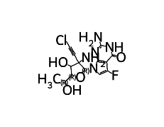 C[C@@H](O)[C@H]1O[C@@H](n2cc(F)c3c(=O)[nH]c(N)nc32)C(N)(C#CCl)C1O